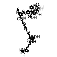 CN(CC(=O)O)C1CCCCC1N(CC(=O)O)CC(Cc1ccc(NC(=O)c2cc(N=C=S)cc(C(=O)NCCCOCCOCCOCCCNC(=O)C(CC(=O)O)NC(=O)CCCCC3SCC4NC(=O)NC43)c2)cc1)N(CC(=O)O)CC(=O)O